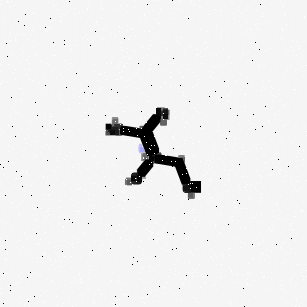 CC/C(C#N)=[P+](/[O-])CO